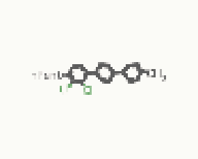 CCCCCc1ccc(-c2ccc(-c3ccc(C)cc3)cc2)c(Cl)c1Cl